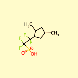 CC1CC(C)C(C(F)(F)C(F)(F)S(=O)(=O)O)C1